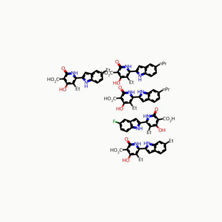 CCCc1ccc2[nH]c(-c3[nH]c(=O)c(C(=O)O)c(O)c3CC)cc2c1.CCCc1ccc2cc(-c3[nH]c(=O)c(C(=O)O)c(O)c3CC)[nH]c2c1.CCc1c(-c2cc3cc(F)ccc3[nH]2)[nH]c(=O)c(C(=O)O)c1O.CCc1ccc2[nH]c(-c3[nH]c(=O)c(C(=O)O)c(O)c3CC)cc2c1.CCc1ccc2cc(-c3[nH]c(=O)c(C(=O)O)c(O)c3CC)[nH]c2c1